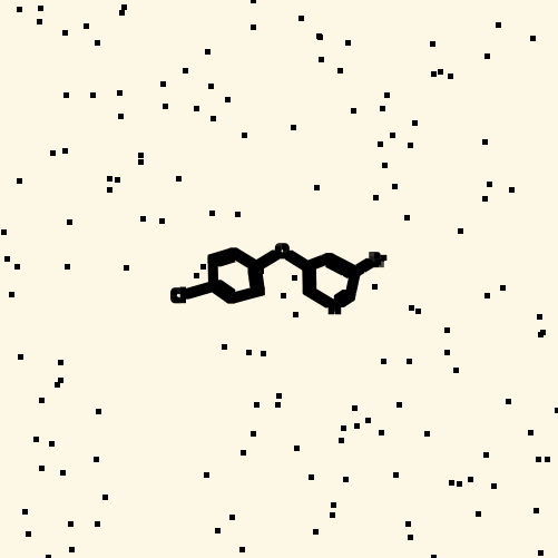 Clc1ccc(Oc2cncc(Br)c2)cc1